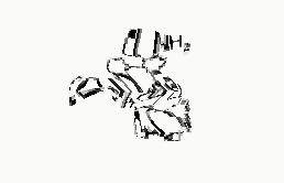 CC(C)c1onc(-c2c(Cl)cccc2Cl)c1COc1ccc(N)c(Cl)c1-c1cccc(C(=O)O)c1C=O